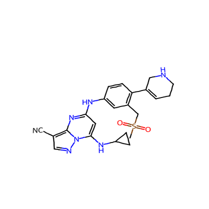 CS(=O)(=O)Cc1cc(Nc2cc(NC3CC3)n3ncc(C#N)c3n2)ccc1C1=CCCNC1